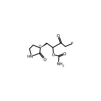 NC(=O)OC(C[C@@H]1CCNC1=O)C(=O)CF